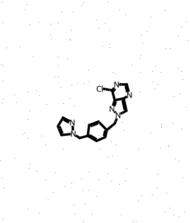 Clc1ncnc2cn(Cc3ccc(Cn4cccn4)cc3)nc12